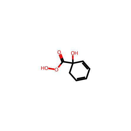 O=C(OO)C1(O)C=CC=CC1